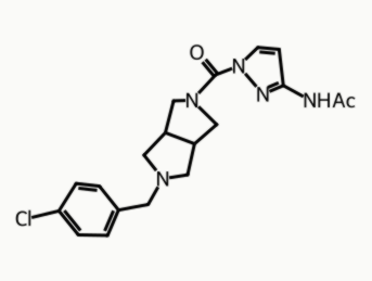 CC(=O)Nc1ccn(C(=O)N2CC3CN(Cc4ccc(Cl)cc4)CC3C2)n1